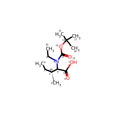 CC[C@@H](C)C(C(=O)O)N(CC)C(=O)OC(C)(C)C